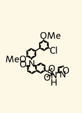 COc1cc(Cl)cc(-c2ccc(OC)c(-n3c(=O)ccc4cc(S(=O)(=O)Nc5ccon5)ccc43)c2)c1